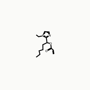 C=CC(=O)OC(CCCCC)c1nccn1CC